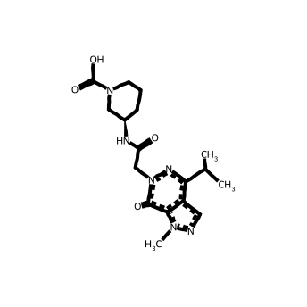 CC(C)c1nn(CC(=O)N[C@@H]2CCCN(C(=O)O)C2)c(=O)c2c1cnn2C